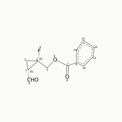 O=C[C@@H]1C[C@@]1(F)COC(=O)c1ccccc1